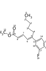 CCCCCC(=CC=CC(=O)OC)c1cccc(F)c1